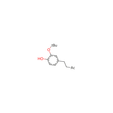 CC(=O)CCc1ccc(O)c(OC(C)(C)C)c1